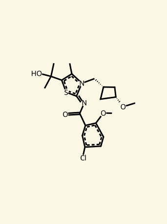 COc1ccc(Cl)cc1C(=O)N=c1sc(C(C)(C)O)c(C)n1C[C@H]1C[C@@H](OC)C1